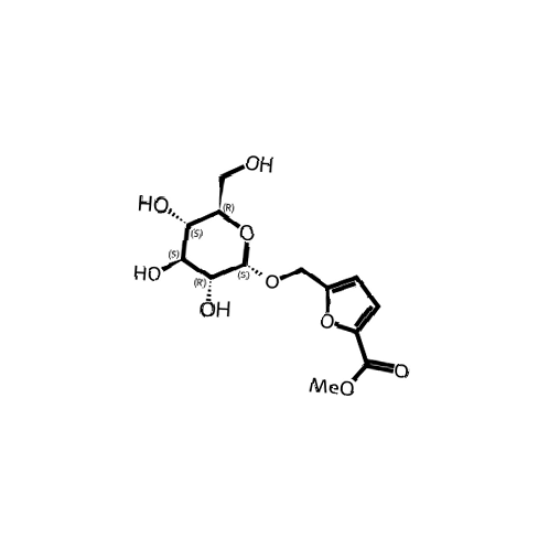 COC(=O)c1ccc(CO[C@H]2O[C@H](CO)[C@@H](O)[C@H](O)[C@H]2O)o1